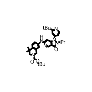 CC(C)n1c(=O)c2cnc(Nc3ccc4c(c3)CN(C(=O)OC(C)(C)C)CC4(C)C)cc2n1-c1ccnc(C(C)(C)C)c1